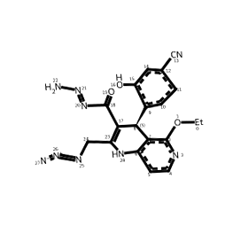 CCOc1nccc2c1[C@H](c1ccc(C#N)cc1O)C(C(=O)N=NN)=C(CN=[N+]=[N-])N2